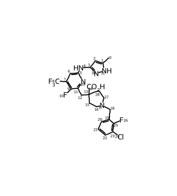 Cc1cc(Nc2cc(C(F)(F)F)c(F)c(CC3(C(=O)O)CCN(Cc4cccc(Cl)c4F)CC3)n2)n[nH]1